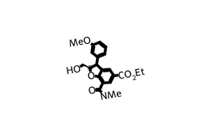 CCOC(=O)c1cc(C(=O)NC)c2c(c1)C(c1cccc(OC)c1)[C@H](CO)O2